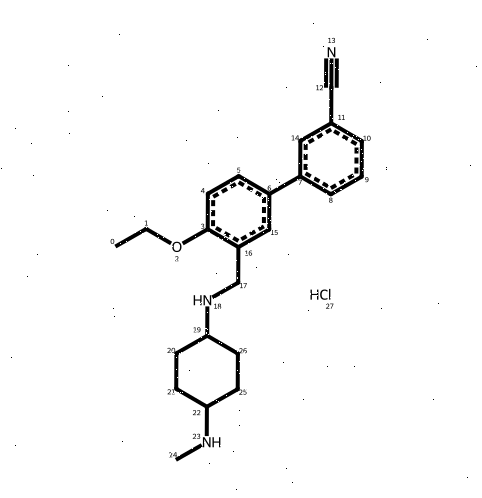 CCOc1ccc(-c2cccc(C#N)c2)cc1CNC1CCC(NC)CC1.Cl